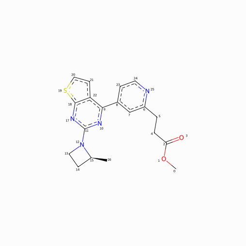 COC(=O)CCc1cc(-c2nc(N3CC[C@@H]3C)nc3sccc23)ccn1